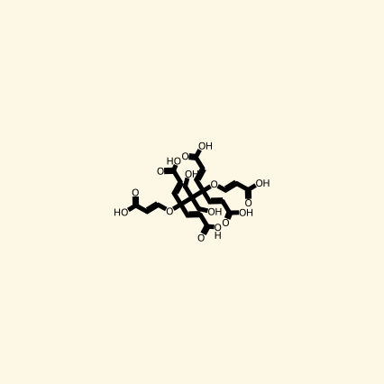 O=C(O)C=COC(C=CC(=O)O)(C=CC(=O)O)C(CO)(CO)C(C=CC(=O)O)(C=CC(=O)O)OC=CC(=O)O